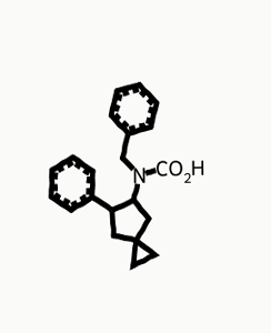 O=C(O)N(Cc1ccccc1)C1CC2(CC2)CC1c1ccccc1